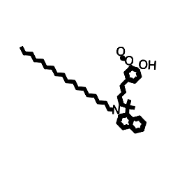 CCCCCCCCCCCCCCCCCCN1/C(=C/C=C/c2ccc(O)c(OC=O)c2)C(C)(C)c2c1ccc1ccccc21